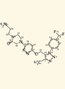 Cc1nnn(-c2ccc(C(F)F)cc2)c1COc1ccc(N2CCN(CCN)C(=O)C2)nn1